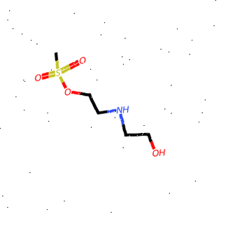 CS(=O)(=O)OCCNCCO